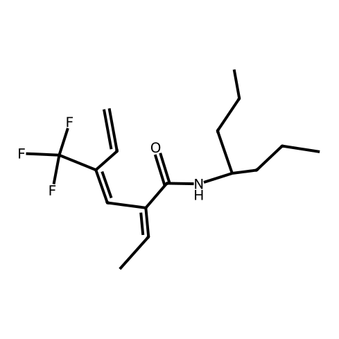 C=C/C(=C\C(=C/C)C(=O)NC(CCC)CCC)C(F)(F)F